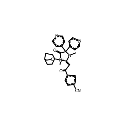 CN1C(=CC(=O)c2ccc(C#N)cc2)[N+](C)(C23CCC(CC2)CC3)C(=O)C1(c1ccncc1)c1ccncc1